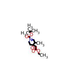 CCOC(=O)CC1(O)CCN(C(=O)OC(C)(C)C)CC1C